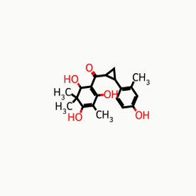 CC1=C(O)C(C)(C)C(O)C(C(=O)C2CC2c2ccc(O)cc2C)=C1O